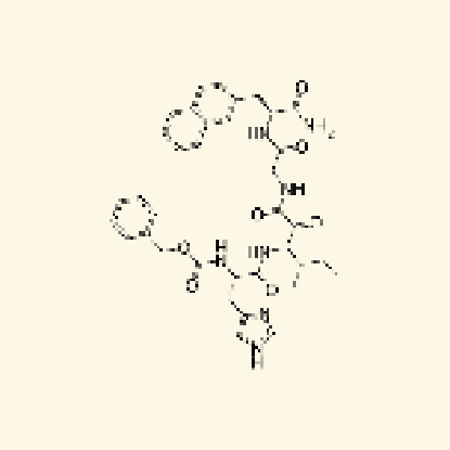 CC[C@H](C)C(NC(=O)[C@H](Cc1c[nH]cn1)NC(=O)OCc1ccccc1)C(=O)C(=O)NCC(=O)N[C@@H](Cc1ccc2ccccc2c1)C(N)=O